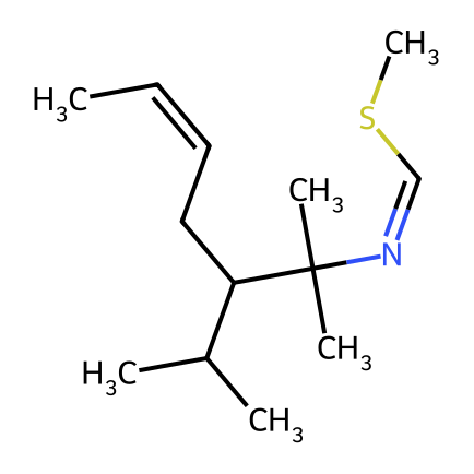 C/C=C\CC(C(C)C)C(C)(C)/N=C\SC